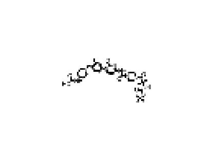 Cc1cc(-n2ccc(NC(=O)N3CCN(C(=O)C(C)(C)NC(=O)OC(C)(C)C)CC3)nc2=O)ccc1CN1CCC(NC(=O)O)CC1